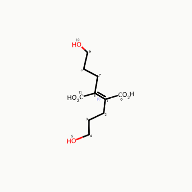 O=C(O)/C(CCCO)=C(\CCCO)C(=O)O